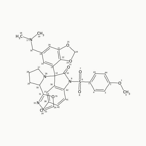 COc1ccc(S(=O)(=O)N2C(=O)C(c3cc(CN(C)C)cc4c3OCO4)(N3CCCC3c3ncco3)c3cc(Cl)ccc32)cc1